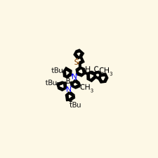 Cc1cc2c3c(c1)N(c1cc(-c4ccc5c(c4)C(C)(C)c4ccccc4-5)cc(-c4cc5ccccc5s4)c1)c1ccc(C(C)(C)C)cc1B3c1cc(C(C)(C)C)ccc1N2c1ccc(C(C)(C)C)cc1